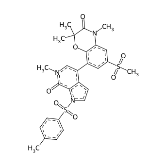 Cc1ccc(S(=O)(=O)n2ccc3c(-c4cc(S(C)(=O)=O)cc5c4OC(C)(C)C(=O)N5C)cn(C)c(=O)c32)cc1